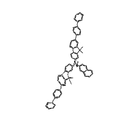 CC1(C)c2cc(-c3ccc(-c4ccccc4)cc3)ccc2-c2ccc(N(c3ccc4c(c3)C(C)(C)c3cc(-c5ccc(-c6ccccc6)cc5)ccc3-4)c3ccc4ccccc4c3)cc21